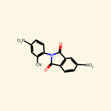 N#Cc1cc([N+](=O)[O-])ccc1N1C(=O)c2ccc([N+](=O)[O-])cc2C1=O